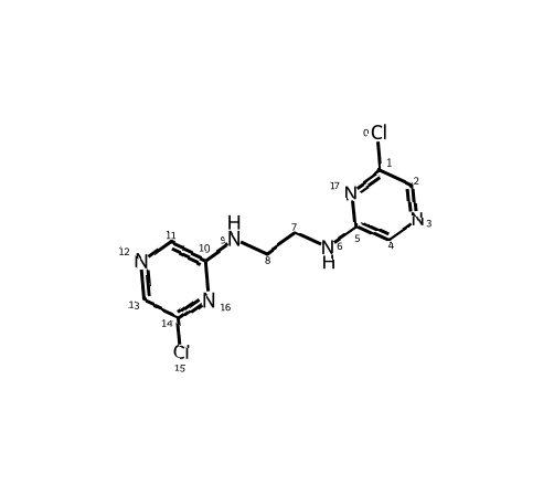 Clc1cncc(NCCNc2cncc(Cl)n2)n1